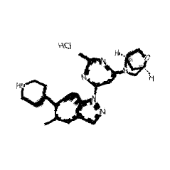 Cc1nc(N2C[C@H]3C[C@@H]2CO3)cc(-n2ncc3cc(C)c(C4CCNCC4)cc32)n1.Cl